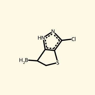 BC1CSc2c(Cl)n[nH]c21